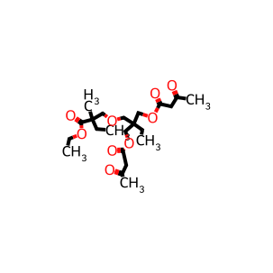 CCOC(=O)C(C)(CC)COCC(CC)(COC(=O)CC(C)=O)COC(=O)CC(C)=O